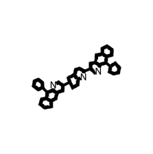 c1ccc(-c2c3ccccc3cc3cc(-c4ccc5nc(-c6cnc7c(-c8ccccc8)c8ccccc8cc7c6)ccc5c4)cnc23)cc1